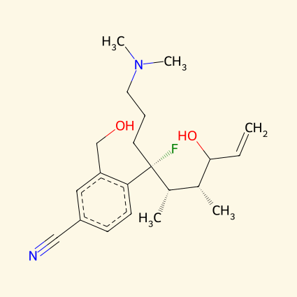 C=CC(O)[C@H](C)[C@H](C)[C@](F)(CCCN(C)C)c1ccc(C#N)cc1CO